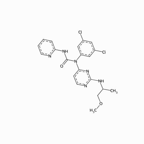 COCC(C)Nc1nccc(N(C(=O)Nc2ccccn2)c2cc(Cl)cc(Cl)c2)n1